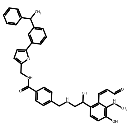 CNc1c(O)ccc(C(O)CNCc2ccc(C(=O)NCc3ccc(-c4cccc(C(C)c5ccccc5)c4)o3)cc2)c1/C=C\C=O